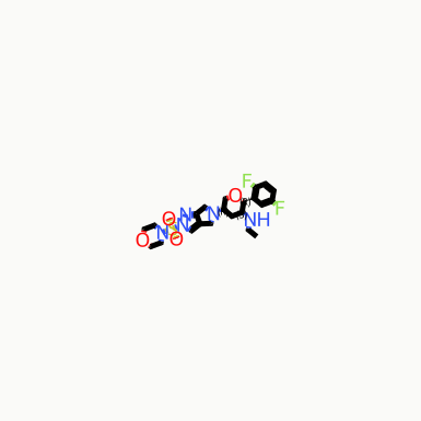 CCN[C@H]1C[C@@H](N2Cc3cn(S(=O)(=O)N4CCOCC4)nc3C2)CO[C@@H]1c1cc(F)ccc1F